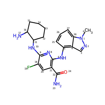 Cn1ncc2c(Nc3nc(NC4CCCCC4N)c(F)cc3C(N)=O)cccc21